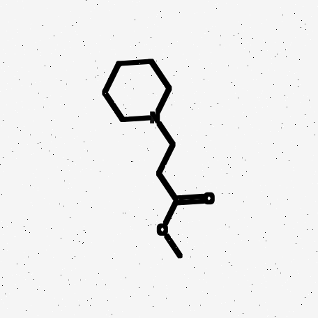 COC(=O)CCN1CCCCC1